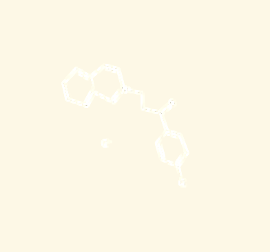 O=C(CC[n+]1ccc2ccccc2c1)c1ccc(Cl)cc1.[Cl-]